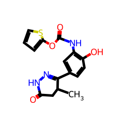 CC1CC(=O)NN=C1c1ccc(O)c(NC(=O)Oc2cccs2)c1